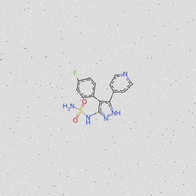 NS(=O)(=O)Nc1n[nH]c(-c2ccncc2)c1-c1ccc(F)cc1